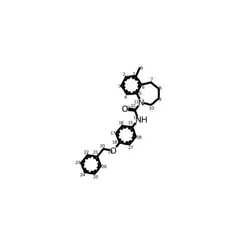 Cc1cccc2c1CCCCN2C(=O)Nc1ccc(OCc2ccccc2)cc1